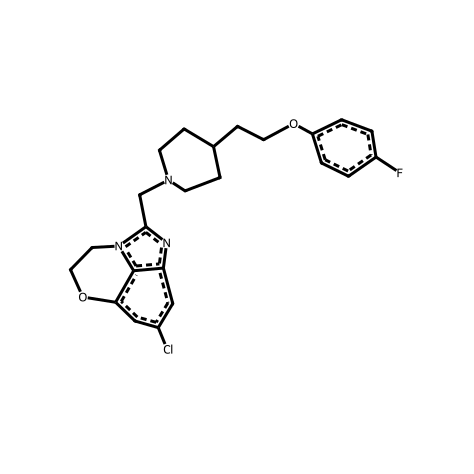 Fc1ccc(OCCC2CCN(Cc3nc4cc(Cl)cc5c4n3CCO5)CC2)cc1